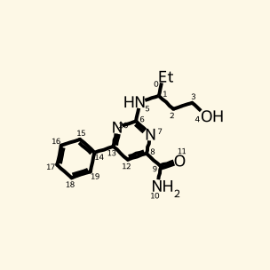 CCC(CCO)Nc1nc(C(N)=O)cc(-c2ccccc2)n1